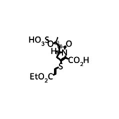 CCOC(=O)C=CSC1=C(C(=O)O)N2C(=O)[C@@H]([C@H](C)OS(=O)(=O)O)[C@H]2C1